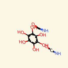 N=C=O.N=C=O.Oc1c(O)c(O)c(O)c(O)c1O